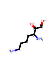 NCCCCC(N)C(=O)C=O